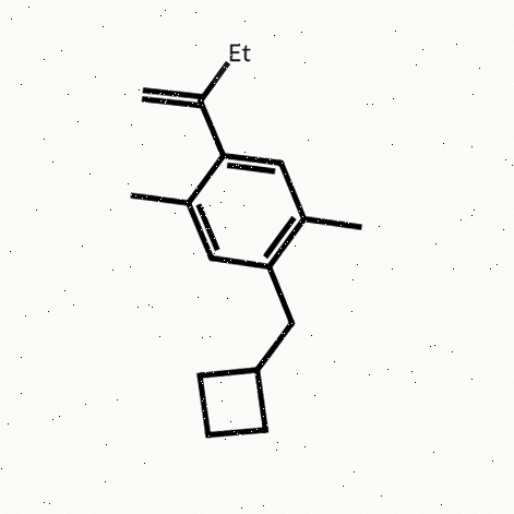 C=C(CC)c1cc(C)c(CC2CCC2)cc1C